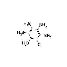 Bc1c(B)c(N)c(B)c(Cl)c1B